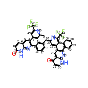 Cc1cc(-c2cc3ccc(=O)[nH]c3nc2-c2cccc(Cc3cc(-c4cc5c(=O)cc[nH]c5nc4-c4ccccc4)cc(C(F)(F)F)n3)c2)cc(C(F)(F)F)n1